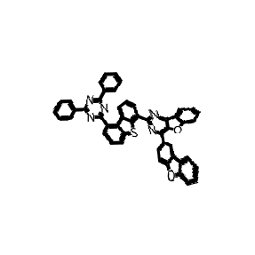 c1ccc(-c2nc(-c3ccccc3)nc(-c3cccc4sc5c(-c6nc(-c7ccc8oc9ccccc9c8c7)c7oc8ccccc8c7n6)cccc5c34)n2)cc1